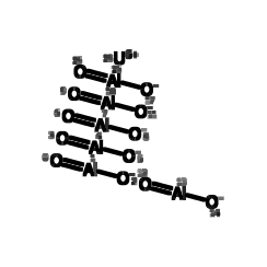 [O]=[Al][O-].[O]=[Al][O-].[O]=[Al][O-].[O]=[Al][O-].[O]=[Al][O-].[O]=[Al][O-].[U+6]